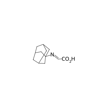 O=C(O)C=NC12CC3CC(CC(C3)C1)C2